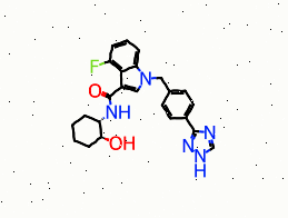 O=C(N[C@H]1CCCC[C@@H]1O)c1cn(Cc2ccc(-c3nc[nH]n3)cc2)c2cccc(F)c12